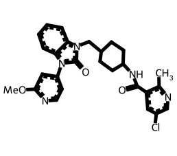 COc1cc(-n2c(=O)n(CC3CCC(NC(=O)c4cc(Cl)cnc4C)CC3)c3ccccc32)ccn1